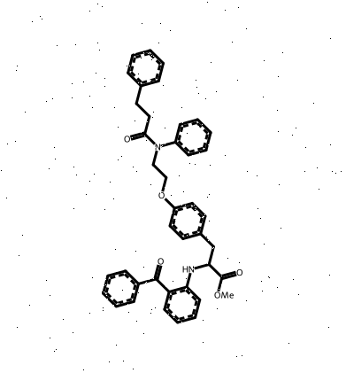 COC(=O)C(Cc1ccc(OCCN(C(=O)CCc2ccccc2)c2ccccc2)cc1)Nc1ccccc1C(=O)c1ccccc1